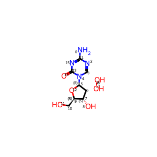 Nc1ncn([C@H]2C[C@H](O)[C@@H](CO)O2)c(=O)n1.OO